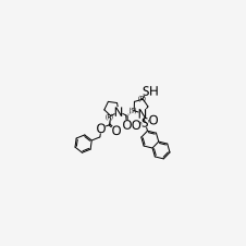 O=C(OCc1ccccc1)[C@H]1CCCN1C(=O)[C@@H]1C[C@@H](S)CN1S(=O)(=O)c1ccc2ccccc2c1